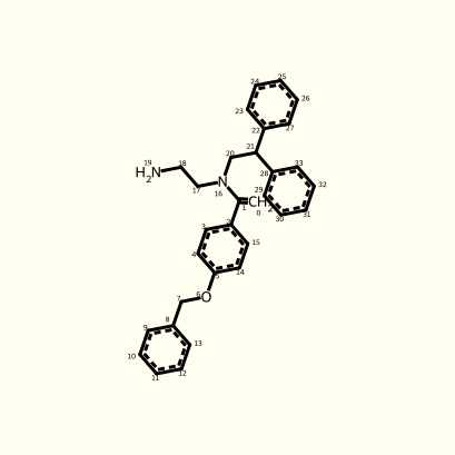 C=C(c1ccc(OCc2ccccc2)cc1)N(CCN)CC(c1ccccc1)c1ccccc1